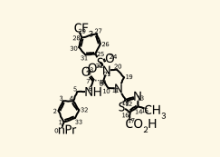 CCCc1ccc(CNC(=O)[C@H]2CN(c3nc(C)c(C(=O)O)s3)CCN2S(=O)(=O)c2ccc(C(F)(F)F)cc2)cc1